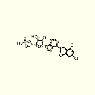 O=P(O)(O)OC[C@H]1O[C@@H](n2cnc3c(NCc4c(Cl)cc(Cl)cc4Cl)ncnc32)[C@H](O)[C@@H]1O